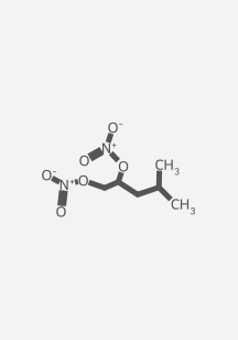 CC(C)CC(CO[N+](=O)[O-])O[N+](=O)[O-]